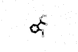 [O]Oc1ccccc1C(=O)OO